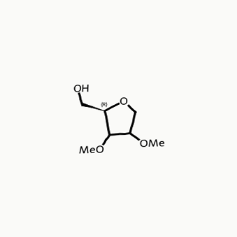 COC1CO[C@H](CO)C1OC